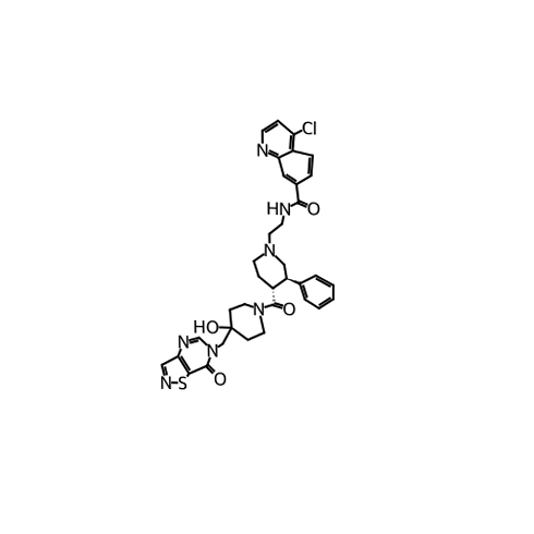 O=C(NCCN1CC[C@@H](C(=O)N2CCC(O)(Cn3cnc4cnsc4c3=O)CC2)[C@H](c2ccccc2)C1)c1ccc2c(Cl)ccnc2c1